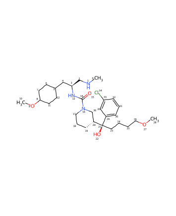 CNC[C@H](CC1CCC(OC)CC1)NC(=O)N1CCC[C@@H]([C@@](O)(CCCCOC)c2cccc(Cl)c2)C1